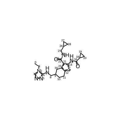 CCn1cnnc1NCC1CCc2sc(NC(=O)C3CC3)c(C(=O)NCC3CC3)c2C1